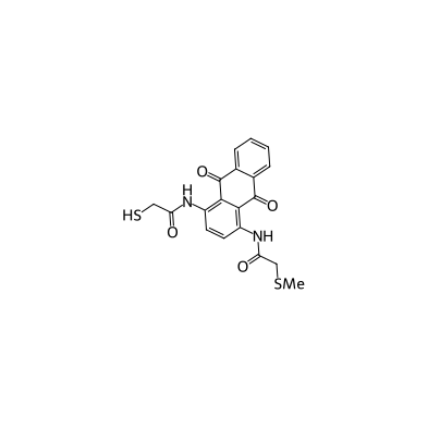 CSCC(=O)Nc1ccc(NC(=O)CS)c2c1C(=O)c1ccccc1C2=O